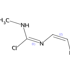 CN/C(Cl)=N\C=C/F